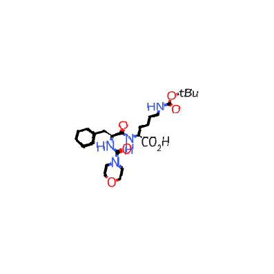 CC(C)(C)OC(=O)NCCCC[C@H](NC(=O)[C@H](CC1CCCCC1)NC(=O)N1CCOCC1)C(=O)O